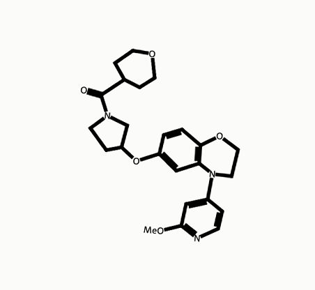 COc1cc(N2CCOc3ccc(OC4CCN(C(=O)C5CCOCC5)C4)cc32)ccn1